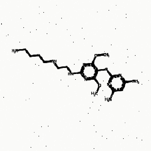 COc1nc(NCCNCCCCN)nc(OC)c1Sc1nc(N)cc(N)n1